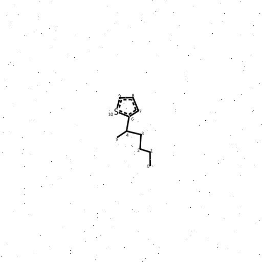 [CH2]CCCC(C)c1cccs1